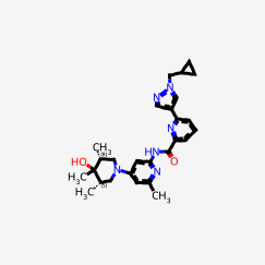 Cc1cc(N2C[C@@H](C)C(C)(O)[C@@H](C)C2)cc(NC(=O)c2cccc(-c3cnn(CC4CC4)c3)n2)n1